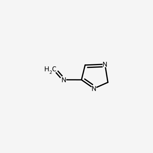 C=NC1=NCN=C1